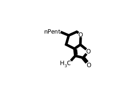 CCCCCC1COC2OC(=O)C(C)=C2C1